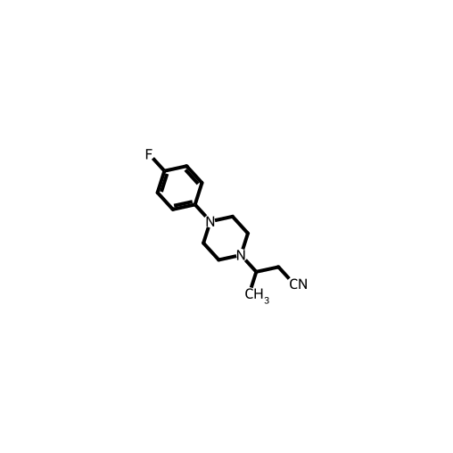 CC(CC#N)N1CCN(c2ccc(F)cc2)CC1